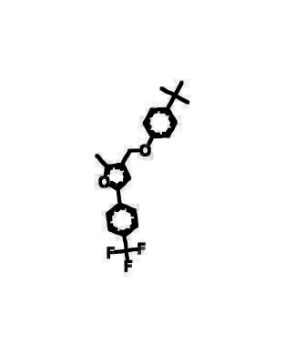 Cc1oc(-c2ccc(C(F)(F)F)cc2)cc1COc1ccc(C(C)(C)C)cc1